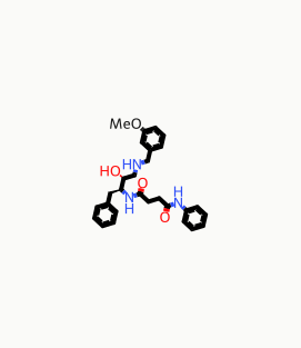 COc1cccc(CNC[C@@H](O)[C@H](Cc2ccccc2)NC(=O)CCC(=O)Nc2ccccc2)c1